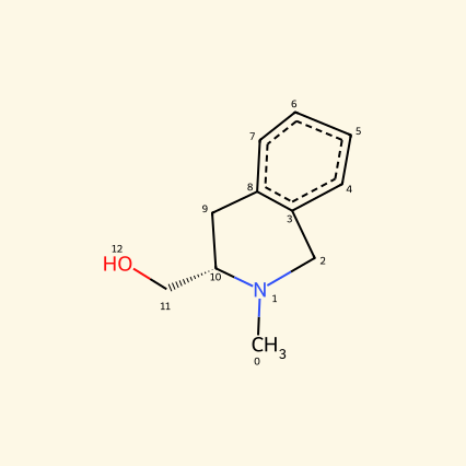 CN1Cc2ccccc2C[C@H]1CO